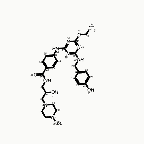 CC(C)(C)N1CCN(CC(O)CNC(=O)c2ccc(Nc3nc(NCc4ccc(O)cc4)nc(OCC(F)(F)F)n3)cc2)CC1